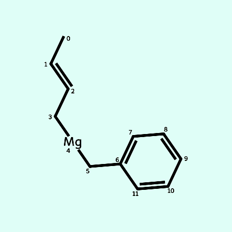 CC=C[CH2][Mg][CH2]c1ccccc1